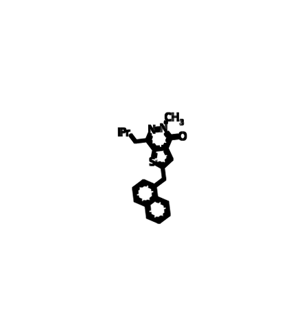 CC(C)Cc1nn(C)c(=O)c2cc(Cc3cccc4ccccc34)sc12